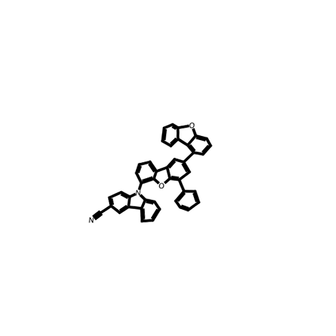 N#Cc1ccc2c(c1)c1ccccc1n2-c1cccc2c1oc1c(-c3ccccc3)cc(-c3cccc4oc5ccccc5c34)cc12